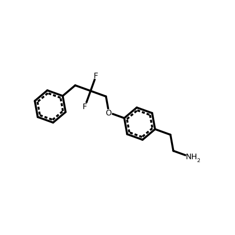 NCCc1ccc(OCC(F)(F)Cc2ccccc2)cc1